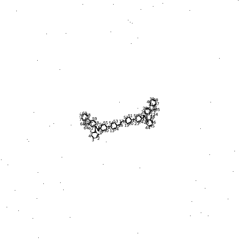 Cc1ccccc1N(c1ccc(-c2ccc(/C=C/c3ccc(-c4ccc(N(c5ccc6c(c5)C(C)(C)c5ccccc5-6)c5ccccc5C)cc4)cc3)cc2)cc1)c1ccc2c(c1)C(C)(C)C1=C2C=CCC1